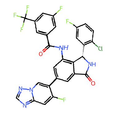 O=C(Nc1cc(-c2cn3ncnc3cc2F)cc2c1[C@H](c1cc(F)ccc1Cl)NC2=O)c1cc(F)cc(C(F)(F)F)c1